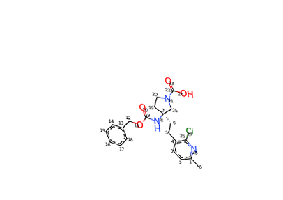 Cc1ccc(CC[C@]2(NC(=O)OCc3ccccc3)CCN(C(=O)O)C2)c(Cl)n1